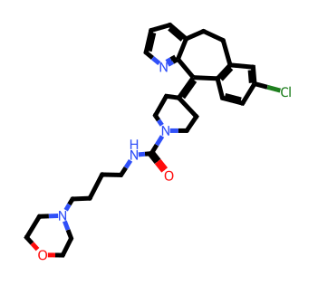 O=C(NCCCCN1CCOCC1)N1CCC(=C2c3ccc(Cl)cc3CCc3cccnc32)CC1